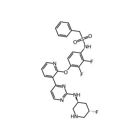 O=S(=O)(Cc1ccccc1)Nc1ccc(Oc2ncccc2-c2ccnc(N[C@@H]3CNC[C@@H](F)C3)n2)c(F)c1F